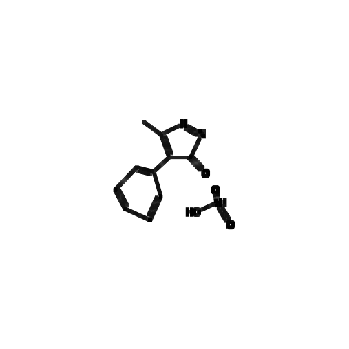 CC1=C(c2ccccc2)C(=O)N=N1.O=[SH](=O)O